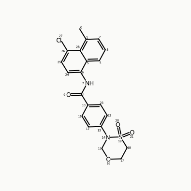 Cc1cccc2c(NC(=O)c3ccc(N4COCCS4(=O)=O)cc3)ccc(Cl)c12